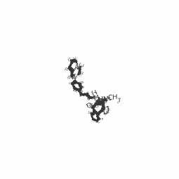 CNC1=C(NCCCc2ccc(N3CCN4CCCC4C3)cc2)C(=O)c2ccccc2C1=O